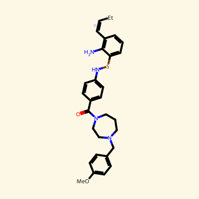 CC/C=C\c1cccc(SNc2ccc(C(=O)N3CCCN(Cc4ccc(OC)cc4)CC3)cc2)c1N